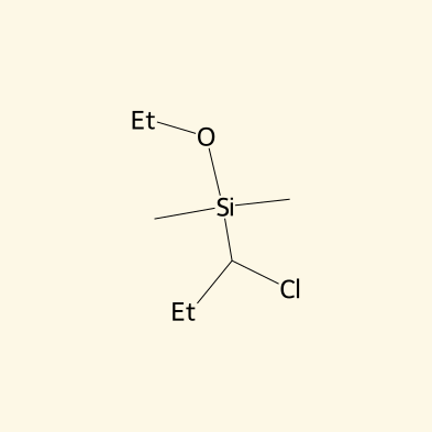 CCO[Si](C)(C)C(Cl)CC